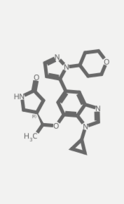 CC(Oc1cc(-c2ccnn2C2CCOCC2)cc2ncn(C3CC3)c12)[C@H]1CNC(=O)C1